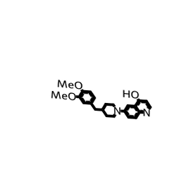 COc1ccc(CC2CCN(c3ccc4nccc(O)c4c3)CC2)cc1OC